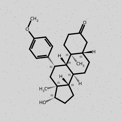 COc1ccc([C@H]2C[C@]3(C)[C@@H](O)CC[C@H]3[C@@H]3CC[C@H]4CC(=O)CC[C@]4(C)[C@H]32)cc1